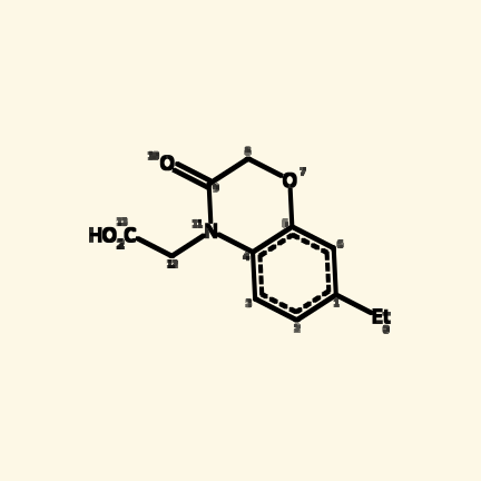 CCc1ccc2c(c1)OCC(=O)N2CC(=O)O